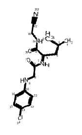 CC(C)CC(NC(=O)CNc1ccc(Cl)cc1)C(=O)NCC#N